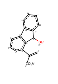 C=C(C(=O)O)c1cccc2c1C(O)c1ccccc1-2